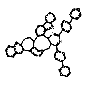 c1ccc(-c2ccc(C3=NC4c5c(ccc6c5sc5ccccc56)C5CCc6cc7ccccc7cc6-c6ccc(cc65)CC4C(c4ccc(-c5ccccc5)cc4)=N3)cc2)cc1